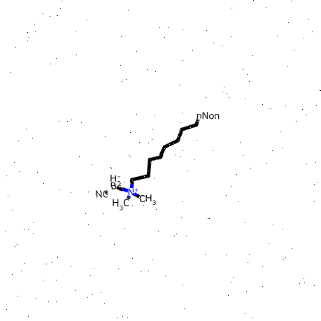 CCCCCCCCCCCCCCCCC[N+](C)(C)[BH2-]C#N